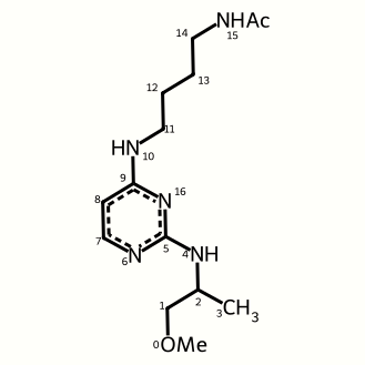 COCC(C)Nc1nccc(NCCCCNC(C)=O)n1